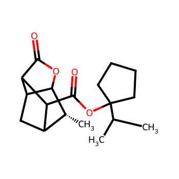 CC(C)C1(OC(=O)C2C3C(=O)OC4C3CC2[C@H]4C)CCCC1